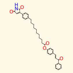 O=C1C=C(c2ccc(CCCCCCCCCCC(=O)Oc3ccc(C=CC(=O)c4ccccc4)cc3)cc2)C(=O)N1